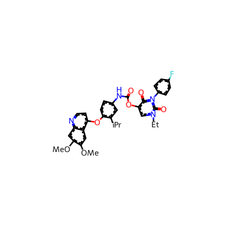 CCn1cc(OC(=O)Nc2ccc(Oc3ccnc4cc(OC)c(OC)cc34)c(C(C)C)c2)c(=O)n(-c2ccc(F)cc2)c1=O